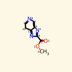 COC(=O)C1=NC2=CN=CCC2=N1